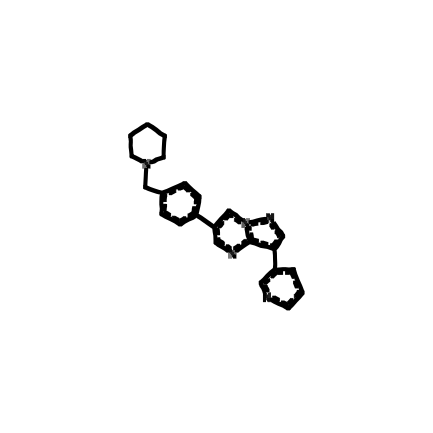 c1cncc(-c2cnn3cc(-c4ccc(CN5CCCCC5)cc4)cnc23)c1